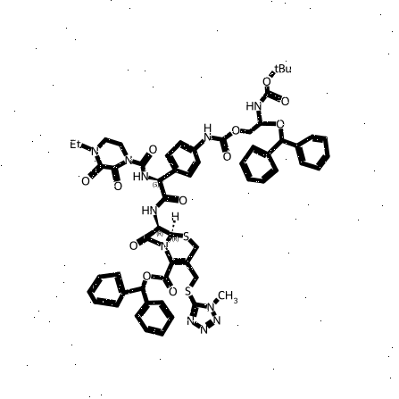 CCN1CCN(C(=O)N[C@H](C(=O)N[C@@H]2C(=O)N3C(C(=O)OC(c4ccccc4)c4ccccc4)=C(CSc4nnnn4C)CS[C@H]23)c2ccc(NC(=O)OCC(NC(=O)OC(C)(C)C)OC(c3ccccc3)c3ccccc3)cc2)C(=O)C1=O